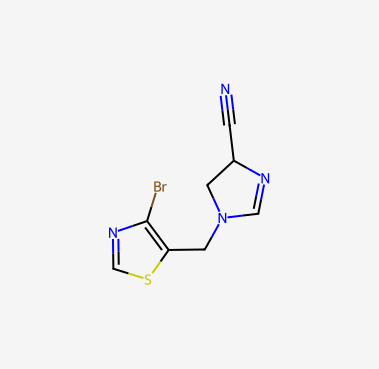 N#CC1CN(Cc2scnc2Br)C=N1